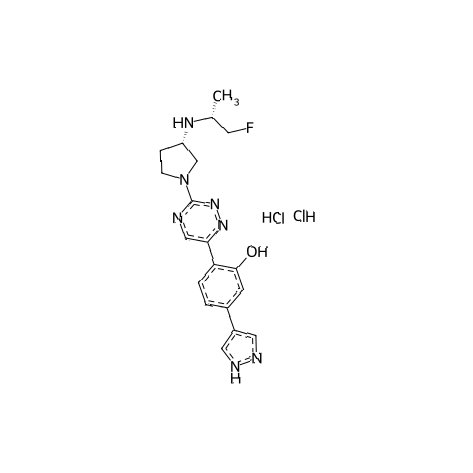 C[C@H](CF)N[C@H]1CCN(c2ncc(-c3ccc(-c4cn[nH]c4)cc3O)nn2)C1.Cl.Cl